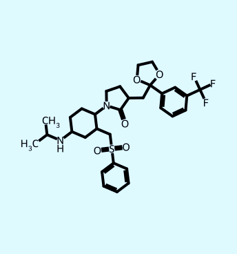 CC(C)NC1CCC(N2CCC(CC3(c4cccc(C(F)(F)F)c4)OCCO3)C2=O)C(CS(=O)(=O)c2ccccc2)C1